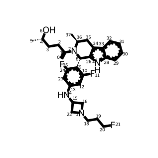 C=C(CC[C@H](C)O)N1[C@@H](c2c(F)cc(NC3CN(CCCF)C3)cc2F)c2[nH]c3ccccc3c2C[C@@H]1C